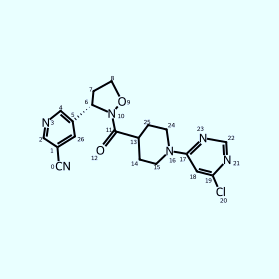 N#Cc1cncc([C@@H]2CCON2C(=O)C2CCN(c3cc(Cl)ncn3)CC2)c1